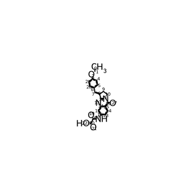 CCOc1ccc(/C=C2\CCn3c2nc2cc(NC(=O)C(=O)O)ccc2c3=O)cc1